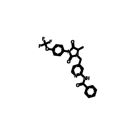 CC1C(=O)N(c2ccc(OC(F)(F)F)cc2)C(=O)N1Cc1ccnc(NC(=O)c2ccccc2)c1